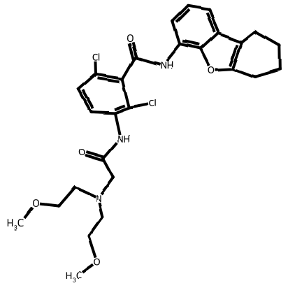 COCCN(CCOC)CC(=O)Nc1ccc(Cl)c(C(=O)Nc2cccc3c4c(oc23)CCCC4)c1Cl